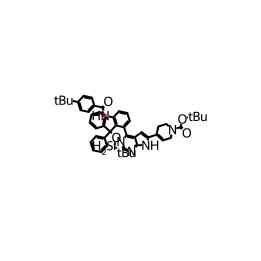 CC(C)(C)OC(=O)N1CC=C(c2cc3c(-c4cccc(NC(=O)c5ccc(C(C)(C)C)cc5)c4C(O[SiH2]C(C)(C)C)(c4ccccc4)c4ccccc4)ncnc3[nH]2)CC1